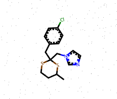 CC1CCSC(Cc2ccc(Cl)cc2)(Cn2ccnc2)S1